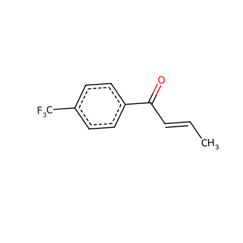 CC=CC(=O)c1ccc(C(F)(F)F)cc1